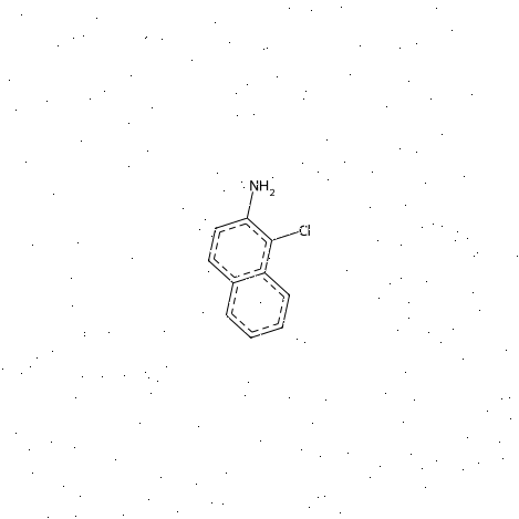 Nc1ccc2ccccc2c1Cl